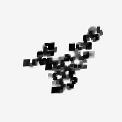 CC(=O)OC(C)=O.CC(=O)OC(C)=O.O=C(O)c1cccc2c1C(=O)OC21c2ccc(O)cc2Oc2cc(O)ccc21